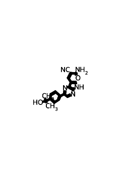 CC(C)(O)c1ccc(-c2cnc3[nH]cc(C=C(C#N)C(N)=O)c3n2)cc1